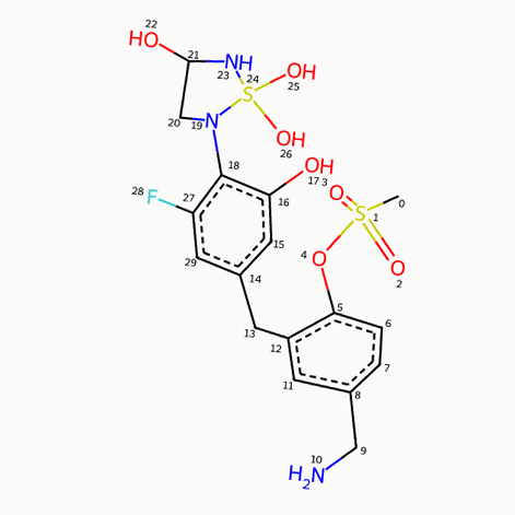 CS(=O)(=O)Oc1ccc(CN)cc1Cc1cc(O)c(N2CC(O)NS2(O)O)c(F)c1